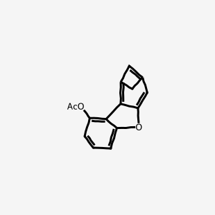 CC(=O)Oc1cccc2oc3cc4cc(c3c12)C4